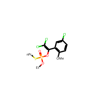 CCCSP(=O)(OCC)OC(=C(Cl)Cl)c1cc(Cl)ccc1OC